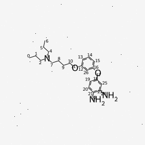 CCCN(CCC)CCCCOc1cccc(Oc2ccc(N)c(N)c2)c1